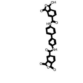 O=C(Nc1ccc(-c2ccc(NC(=O)c3ccc4c(c3)C(=O)OC4O)cc2)cc1)c1ccc2c(c1)C(=O)OC2=O